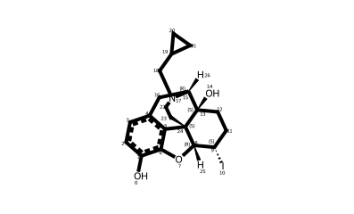 Oc1ccc2c3c1O[C@H]1[C@@H](I)CC[C@@]4(O)[C@@H](C2)N(CC2CC2)CC[C@]314